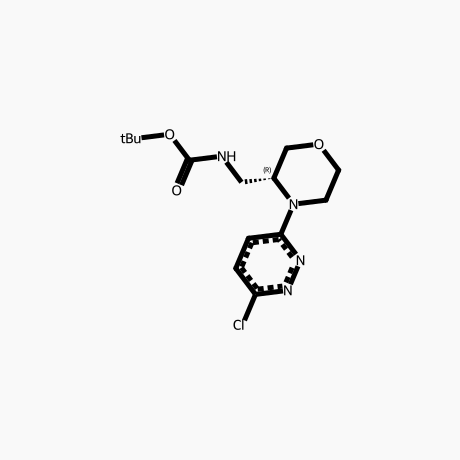 CC(C)(C)OC(=O)NC[C@@H]1COCCN1c1ccc(Cl)nn1